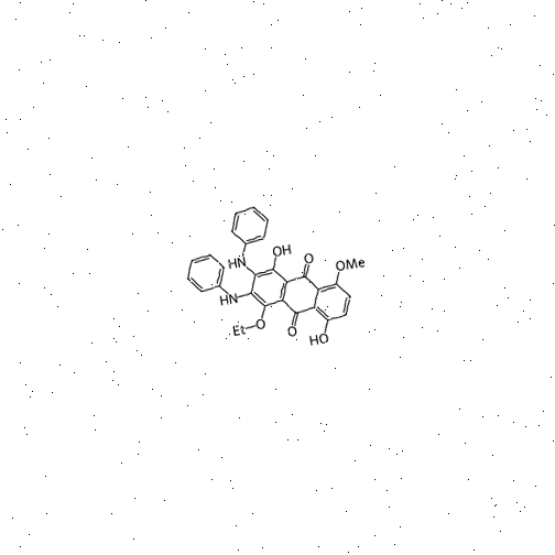 CCOc1c(Nc2ccccc2)c(Nc2ccccc2)c(O)c2c1C(=O)c1c(O)ccc(OC)c1C2=O